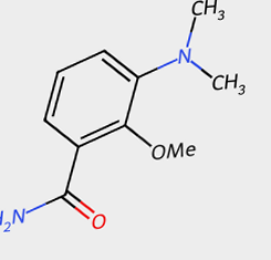 COc1c(C(N)=O)cccc1N(C)C